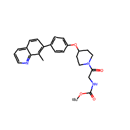 Cc1c(-c2ccc(OC3CCN(C(=O)CNC(=O)OC(C)(C)C)CC3)cc2)ccc2cccnc12